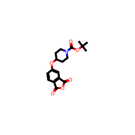 CC(C)(C)OC(=O)N1CCC(Oc2ccc3c(c2)C(=O)OC3=O)CC1